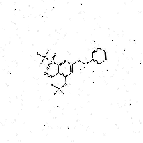 CC1(C)OC(=O)c2c(cc(OCc3ccccc3)cc2S(=O)(=O)C(F)(F)F)O1